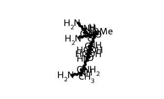 COC(=O)C(CCCCNC(=O)C(O)C(O)C(O)C(O)C(=O)NCCCCC(N)C(=O)NC(C)CCCCN)NC(=O)C(CCCCN)NC(=O)C(N)CCCCN